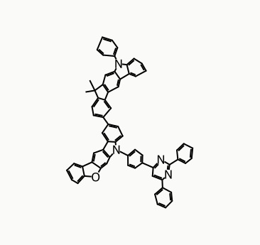 CC1(C)c2ccc(-c3ccc4c(c3)c3cc5c(cc3n4-c3ccc(-c4cc(-c6ccccc6)nc(-c6ccccc6)n4)cc3)oc3ccccc35)cc2-c2cc3c4ccccc4n(-c4ccccc4)c3cc21